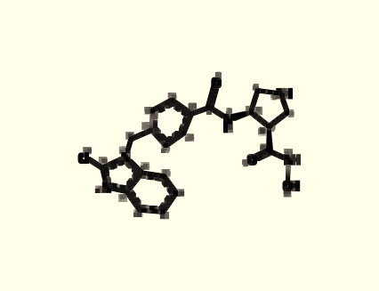 O=C(N[C@H]1CNC[C@H]1C(=O)NO)c1ccc(Cn2c(Cl)nc3ccccc32)cc1